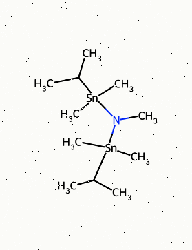 C[CH](C)[Sn]([CH3])([CH3])[N](C)[Sn]([CH3])([CH3])[CH](C)C